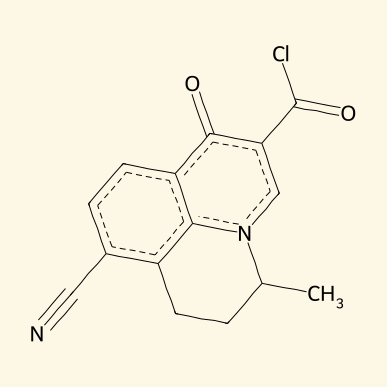 CC1CCc2c(C#N)ccc3c(=O)c(C(=O)Cl)cn1c23